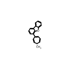 C[C@H]1C=CC=C(c2cccc3c2oc2ccccc23)C=C1